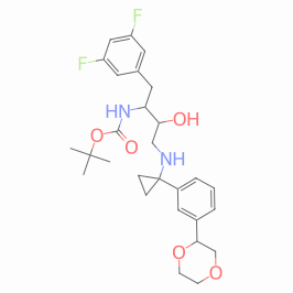 CC(C)(C)OC(=O)NC(Cc1cc(F)cc(F)c1)C(O)CNC1(c2cccc(C3COCCO3)c2)CC1